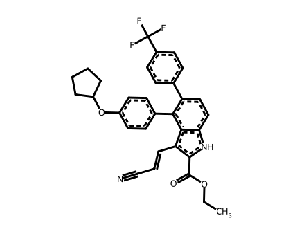 CCOC(=O)c1[nH]c2ccc(-c3ccc(C(F)(F)F)cc3)c(-c3ccc(OC4CCCC4)cc3)c2c1C=CC#N